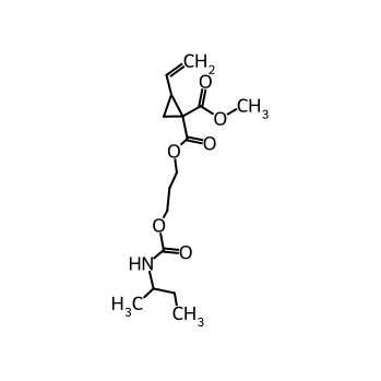 C=CC1CC1(C(=O)OC)C(=O)OCCCOC(=O)NC(C)CC